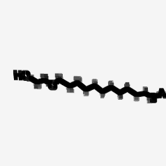 CC(=O)SCCCCCCCCCCCOCCO